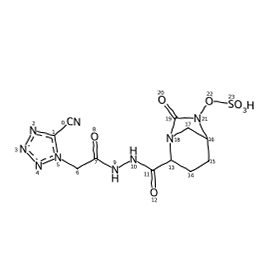 N#Cc1nnnn1CC(=O)NNC(=O)C1CCC2CN1C(=O)N2OS(=O)(=O)O